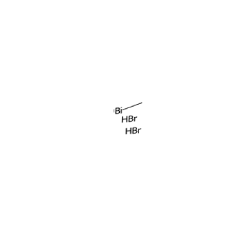 Br.Br.[CH3][Bi]